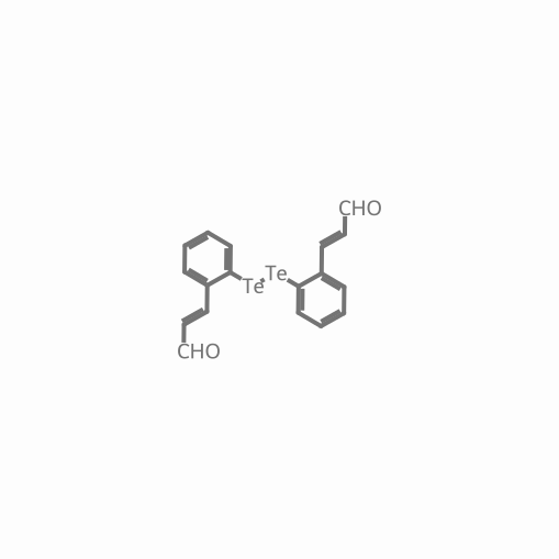 O=CC=Cc1ccccc1[Te][Te]c1ccccc1C=CC=O